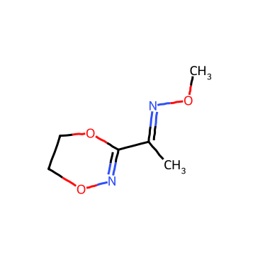 CON=C(C)C1=NOCCO1